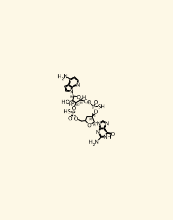 Nc1nc2c(ncn2[C@@H]2OC3COP(=O)(S)O[C@H]4[C@@H](O)[C@H](n5ccc6c(N)ccnc65)O[C@@H]4COP(=O)(S)O[C@@H]2C3)c(=O)[nH]1